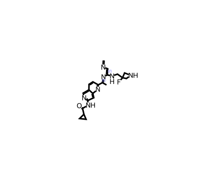 C=N/C=C(\N=C(/C)c1ccc2cnc(NC(=O)C3CC3)cc2n1)NCC1(F)CNC1